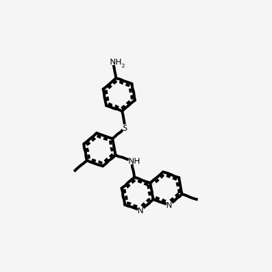 Cc1ccc(Sc2ccc(N)cc2)c(Nc2ccnc3nc(C)ccc23)c1